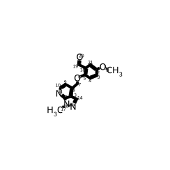 COc1ccc(OCc2ccnc3c2cnn3C)c(C=O)c1